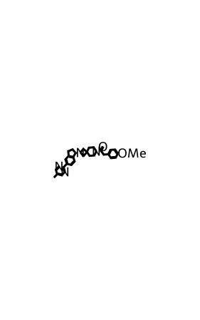 COc1ccc(CC(=O)N2CCC3(CC2)CN(C2CCc4cc(-c5ncc(C)cn5)ccc42)C3)cc1